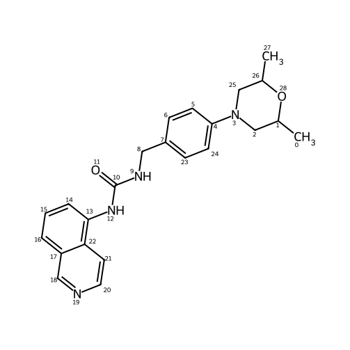 CC1CN(c2ccc(CNC(=O)Nc3cccc4cnccc34)cc2)CC(C)O1